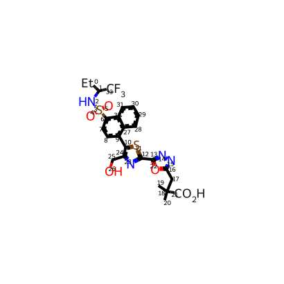 CCC(NS(=O)(=O)c1ccc(-c2sc(-c3nnc(CC(C)(C)C(=O)O)o3)nc2CO)c2ccccc12)C(F)(F)F